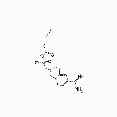 CCCCCC(=O)OS(=O)(=O)Cc1ccc2cc(C(=N)N)ccc2c1